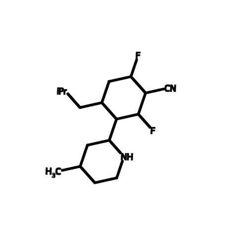 CC(C)CC1CC(F)C(C#N)C(F)C1C1CC(C)CCN1